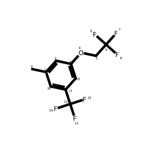 Cc1cc(OCC(F)(F)F)cc(C(F)(F)F)c1